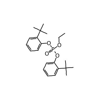 CCOP(=O)(Oc1ccccc1C(C)(C)C)Oc1ccccc1C(C)(C)C